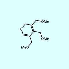 COCC1=CO[CH]C(COC)=C1COC